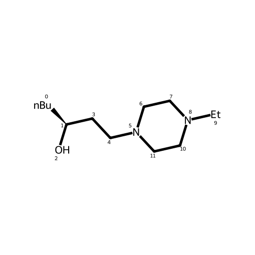 CCCC[C@H](O)CCN1CCN(CC)CC1